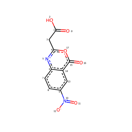 O=C(O)Cc1nc2ccc([N+](=O)[O-])cc2c(=O)o1